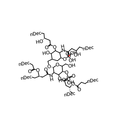 CCCCCCCCCCCCC(=O)O[C@H](CCCCCCCCCCC)CC(=O)OC1C(NC(=O)C[C@@H](CCCCCCCCCCC)OC(=O)CCCCCCCCCCC)[C@H](OCC2C[C@H](OP(=O)(O)O)C(NC(=O)C[C@H](O)CCCCCCCCCCC)C(OC(=O)C[C@H](O)CCCCCCCCCCC)[C@@H]2O)OC(CO)[C@H]1OP(=O)(O)O